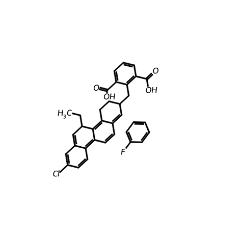 CCC1C=c2cc(Cl)ccc2=c2ccc3c(c21)CCC(Cc1c(C(=O)O)cccc1C(=O)O)C=3.Fc1ccccc1